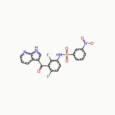 O=C(c1c(F)ccc(NS(=O)(=O)c2cccc([N+](=O)[O-])c2)c1F)c1c[nH]c2ncccc12